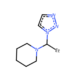 CCC(N1CCCCC1)n1ccnn1